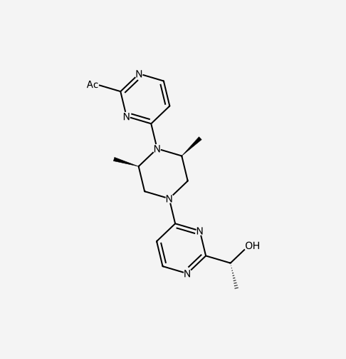 CC(=O)c1nccc(N2[C@H](C)CN(c3ccnc([C@@H](C)O)n3)C[C@@H]2C)n1